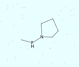 CPN1CCCC1